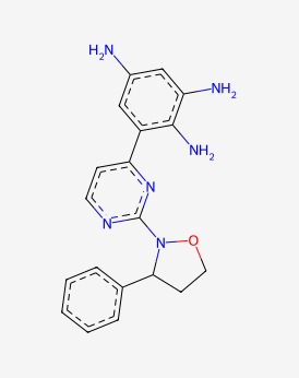 Nc1cc(N)c(N)c(-c2ccnc(N3OCCC3c3ccccc3)n2)c1